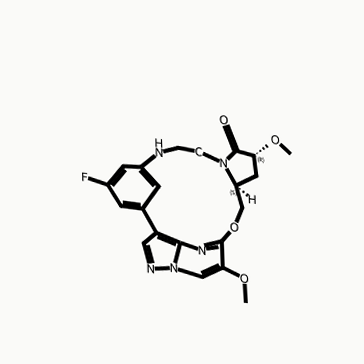 COc1cn2ncc3c2nc1OC[C@@H]1C[C@@H](OC)C(=O)N1CCNc1cc(F)cc-3c1